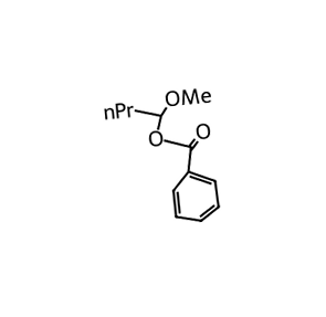 CCCC(OC)OC(=O)c1ccccc1